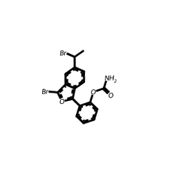 CC(Br)c1ccc2c(-c3ccccc3OC(N)=O)oc(Br)c2c1